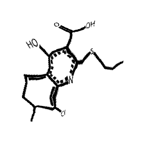 CCSc1nc2c(c(O)c1C(=O)O)=CCC(C)C=2Cl